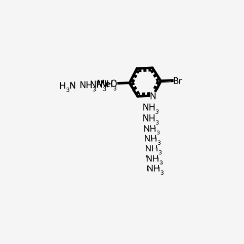 COc1ccc(Br)nc1.N.N.N.N.N.N.N.N.N.N.N